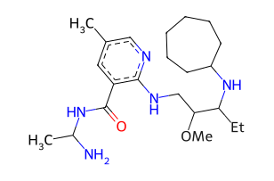 CCC(NC1CCCCCC1)C(CNc1ncc(C)cc1C(=O)NC(C)N)OC